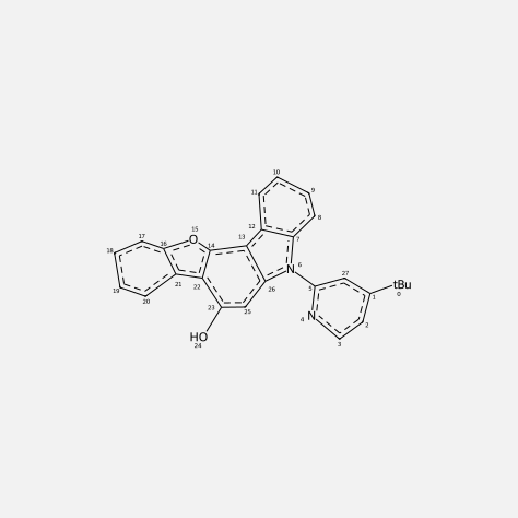 CC(C)(C)c1ccnc(-n2c3ccccc3c3c4oc5ccccc5c4c(O)cc32)c1